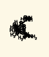 NCc1nc(CN)nc(Cc2cccc(Cc3nc(CN)nc(CN)n3)c2/N=N/c2ccc3ccc(-c4c(CCCC5NC(=O)NC(=O)N5)cccc4CCCC4NC(=O)NC(=O)N4)c(N)c3c2O)n1